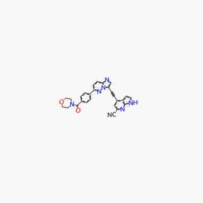 N#Cc1cc(C#Cc2cnc3ccc(-c4ccc(C(=O)N5CCOCC5)cc4)nn23)c2cc[nH]c2n1